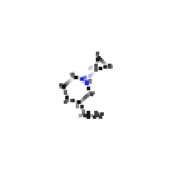 CC(=O)NC1CCCN(C2CC2)C1